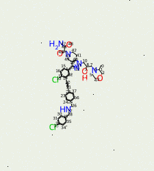 CC1COCCN1CC(O)Cn1nc(-c2ccc(Cl)c(C#Cc3ccc(CNCc4ccc(Cl)cc4)cc3)c2)c2c1CCN(C(=O)C(N)=O)C2